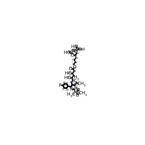 CC(C)c1nc(N(C)S(C)(=O)=O)nc(-c2ccc(F)cc2)c1/C=C/[C@@H](O)C[C@@H](O)CC(=O)OCCCC[C@H](CON(O)O)ON(O)O